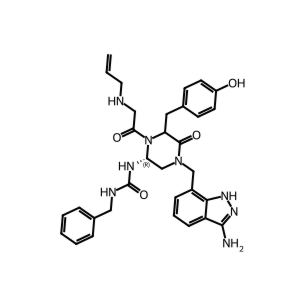 C=CCNCC(=O)N1C(Cc2ccc(O)cc2)C(=O)N(Cc2cccc3c(N)n[nH]c23)C[C@@H]1NC(=O)NCc1ccccc1